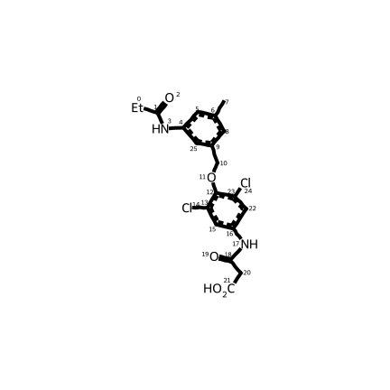 CCC(=O)Nc1cc(C)cc(COc2c(Cl)cc(NC(=O)CC(=O)O)cc2Cl)c1